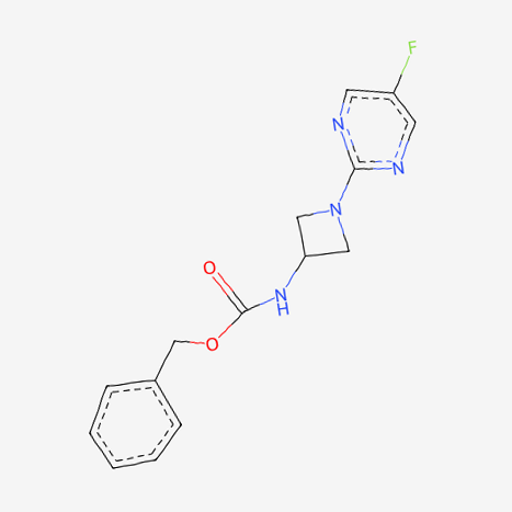 O=C(NC1CN(c2ncc(F)cn2)C1)OCc1ccccc1